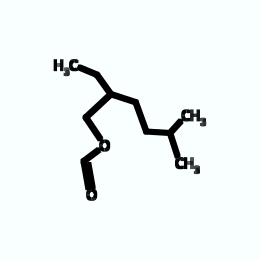 CCC(CCC(C)C)COC=O